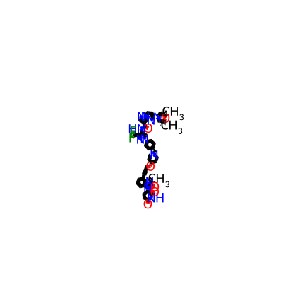 C[C@@H]1CN(c2ccn3ncc(C(=O)Nc4cn([C@H]5CC[C@H](CN6CCC(OCC#Cc7cccc8c7n(C)c(=O)n8C7CCC(=O)NC7=O)CC6)CC5)nc4C(F)F)c3n2)C[C@@H](C)O1